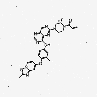 C=CC(=O)N1CCN(c2ncc3ncnc(Nc4ccc(Oc5ccn6nc(C)nc6c5)c(C)c4)c3n2)C[C@H]1C